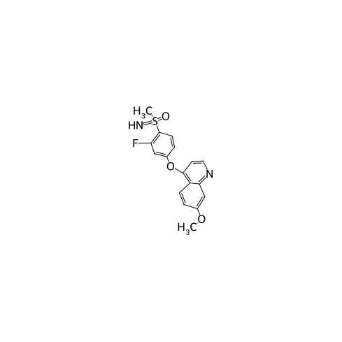 COc1ccc2c(Oc3ccc(S(C)(=N)=O)c(F)c3)ccnc2c1